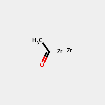 C[C]=O.[Zr].[Zr]